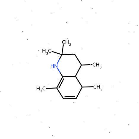 CC1=C2NC(C)(C)CC(C)C2C(C)C=C1